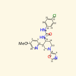 COc1ccc(C2CN(c3cnco3)CCC2NC(=O)Nc2ccc(Cl)cc2)nc1